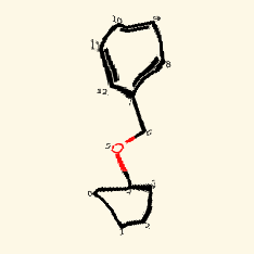 [CH]1CCCC1OCc1ccccc1